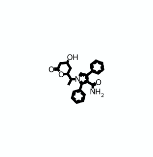 CC(C1CC(O)CC(=O)O1)n1cc(-c2ccccc2)c(C(N)=O)c1-c1ccccc1